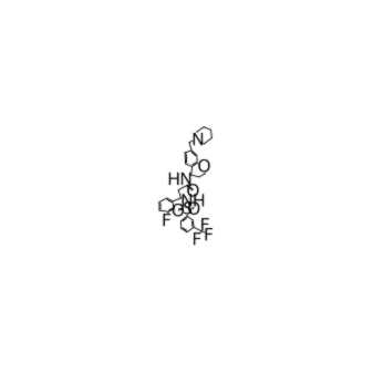 O=C(CC(NS(=O)(=O)c1cccc(C(F)(F)F)c1)c1cccc(F)c1)NC1CCOc2cc(CN3CCCCC3)ccc21